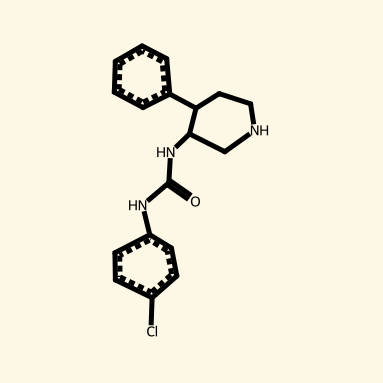 O=C(Nc1ccc(Cl)cc1)NC1CNCCC1c1ccccc1